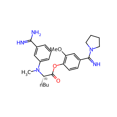 CCCC[C@@H](C(=O)Oc1ccc(C(=N)N2CCCC2)cc1OC)N(C)c1cccc(C(=N)N)c1